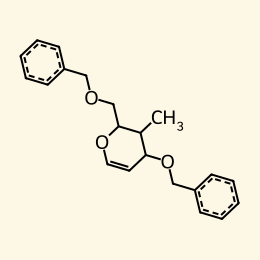 CC1C(OCc2ccccc2)C=COC1COCc1ccccc1